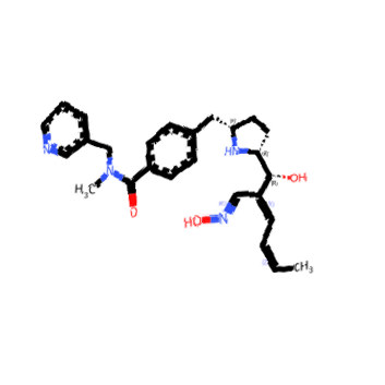 C\C=C/C=C(\C=N\O)[C@@H](O)[C@H]1CC[C@@H](Cc2ccc(C(=O)N(C)Cc3cccnc3)cc2)N1